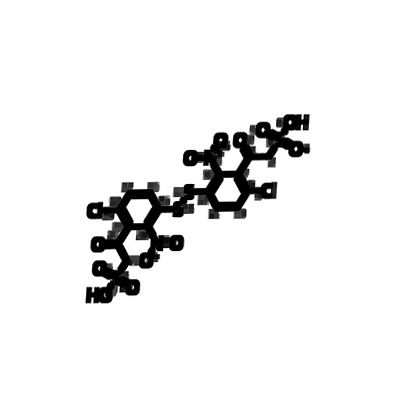 O=C(CS(=O)(=O)O)c1c(Cl)ccc(SSc2ccc(Cl)c(C(=O)CS(=O)(=O)O)c2[N+](=O)[O-])c1[N+](=O)[O-]